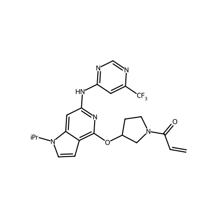 C=CC(=O)N1CCC(Oc2nc(Nc3cc(C(F)(F)F)ncn3)cc3c2ccn3C(C)C)C1